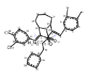 Cc1ccc(/C=C2/C(=O)/C(=C/c3ccc(Cl)c(Cl)c3)C3CCCCC2N3C(=O)[C@@H](N)Cc2ccccc2)cc1C